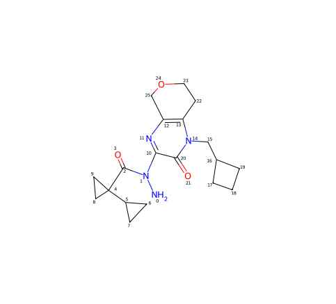 NN(C(=O)C1(C2CC2)CC1)c1nc2c(n(CC3CCC3)c1=O)CCOC2